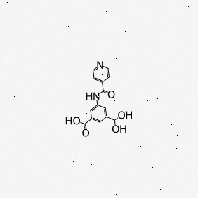 O=C(O)c1cc(NC(=O)c2ccncc2)cc(C(O)O)c1